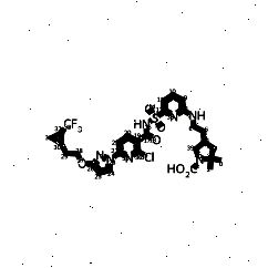 CC1(C)CC(CCNc2cccc(S(=O)(=O)NC(=O)c3ccc(-n4ccc(OCCC5CC5C(F)(F)F)n4)nc3Cl)n2)CN1C(=O)O